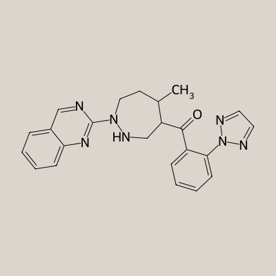 CC1CCN(c2ncc3ccccc3n2)NCC1C(=O)c1ccccc1-n1nccn1